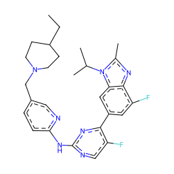 CCC1CCN(Cc2ccc(Nc3ncc(F)c(-c4cc(F)c5nc(C)n(C(C)C)c5c4)n3)nc2)CC1